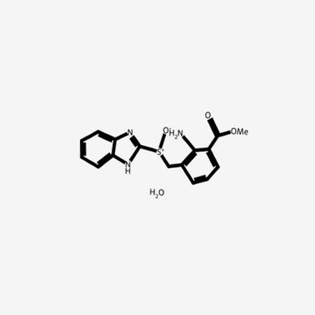 COC(=O)c1cccc(C[S+]([O-])c2nc3ccccc3[nH]2)c1N.O